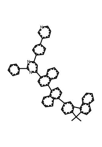 CC1(C)c2ccc(-c3ccc(-c4ccc(-c5cc(-c6ccc(-c7cccnc7)cc6)nc(-c6ccccc6)n5)c5ccccc45)c4ccccc34)cc2-c2c1ccc1ccccc21